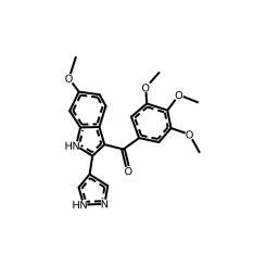 COc1ccc2c(C(=O)c3cc(OC)c(OC)c(OC)c3)c(-c3cn[nH]c3)[nH]c2c1